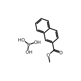 COC(=O)c1ccc2ccccc2c1.OB(O)O